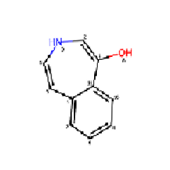 OC1=CNC=Cc2ccccc21